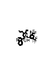 C=CC1CN(Cc2cc(C(F)(F)F)cc(C(F)(F)F)c2)C([C@H](O)c2ccnc3ccccc23)CC1CCC